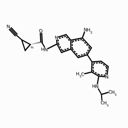 Cc1c(-c2cc(N)c3cnc(NC(=O)[C@@H]4CC4C#N)cc3c2)ccnc1NC(C)C